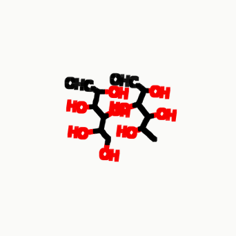 CC(O)C(O)C(O)C(O)C=O.O=CC(O)C(O)C(O)C(O)CO